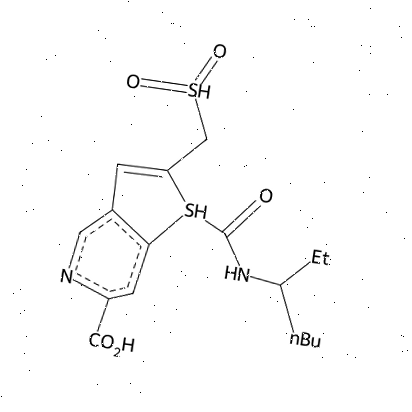 CCCCC(CC)NC(=O)[SH]1C(C[SH](=O)=O)=Cc2cnc(C(=O)O)cc21